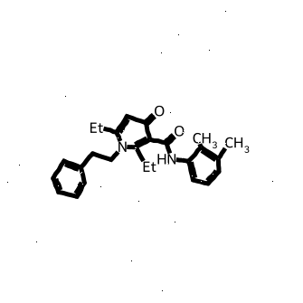 CCc1cc(=O)c(C(=O)Nc2cccc(C)c2C)c(CC)n1CCc1ccccc1